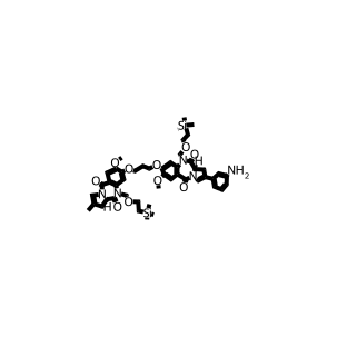 COc1cc2c(cc1OCCCOc1cc3c(cc1OC)C(=O)N1C=C(c4cccc(N)c4)C[C@H]1C(=O)N3COCC[Si](C)(C)C)N(COCC[Si](C)(C)C)C(=O)[C@@H]1CC(C)=CN1C2=O